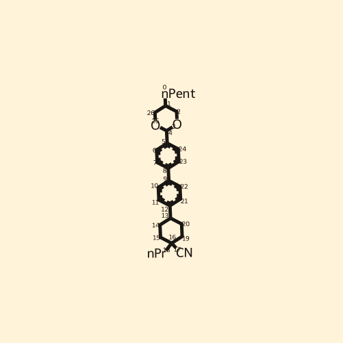 CCCCCC1COC(c2ccc(-c3ccc(C4CCC(C#N)(CCC)CC4)cc3)cc2)OC1